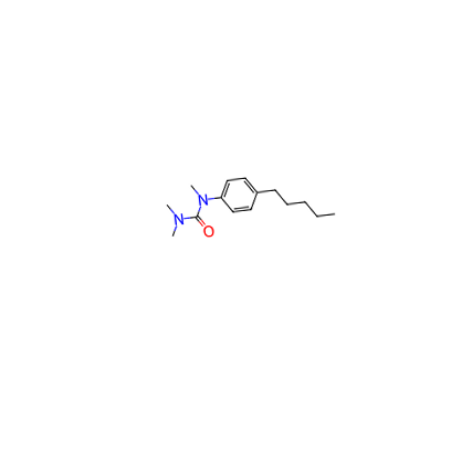 CCCCCc1ccc(N(C)C(=O)N(C)C)cc1